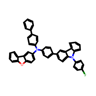 Fc1ccc(-n2c3ccccc3c3cc(-c4ccc(N(c5ccc(-c6ccccc6)cc5)c5ccc6oc7ccccc7c6c5)cc4)ccc32)cc1